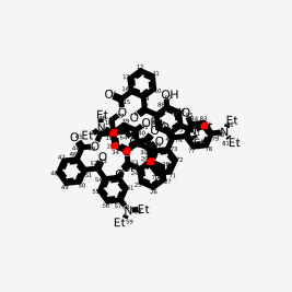 CCN(CC)c1ccc(C(=O)c2ccccc2C(=O)OCC(COC(=O)c2ccccc2C(=O)c2ccc(N(CC)CC)cc2O)(COC(=O)c2ccccc2C(=O)c2ccc(N(CC)CC)cc2O)COC(=O)c2ccccc2C(=O)c2ccc(N(CC)CC)cc2O)c(O)c1